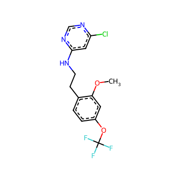 COc1cc(OC(F)(F)F)ccc1CCNc1cc(Cl)ncn1